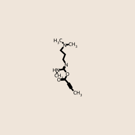 CC#CC(=O)O/C(=N/CCCN(C)C)NC